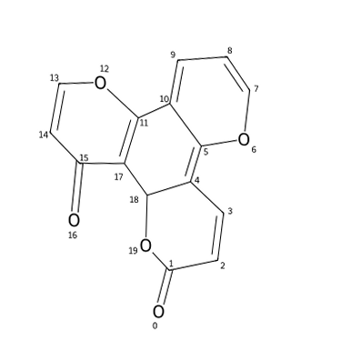 O=C1C=CC2=C3OC=CC=C3c3occc(=O)c3C2O1